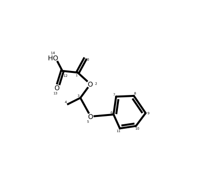 C=C(OC(C)Oc1ccccc1)C(=O)O